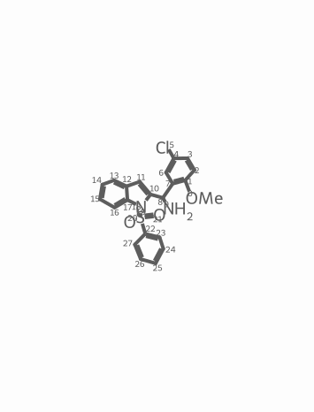 COc1ccc(Cl)cc1C(N)c1cc2ccccc2n1S(=O)(=O)c1ccccc1